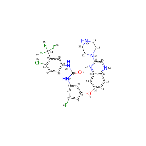 O=C(Nc1cc(F)cc(Oc2ccc3ncc(N4CCNCC4)nc3c2)c1)Nc1ccc(Cl)c(C(F)(F)F)c1